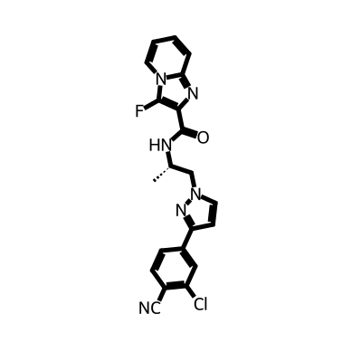 C[C@@H](Cn1ccc(-c2ccc(C#N)c(Cl)c2)n1)NC(=O)c1nc2ccccn2c1F